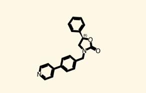 O=C1O[C@H](c2ccccc2)CN1Cc1ccc(-c2ccncc2)cc1